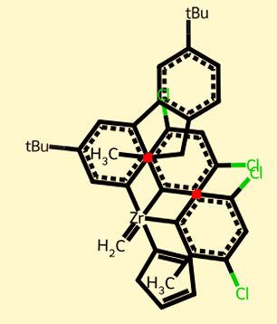 [CH2]=[Zr]([C]1=CC=CC1)([c]1cc(Cl)cc(Cl)c1C)([c]1cc(Cl)cc(Cl)c1C)[c]1cc(C(C)(C)C)cc2c1Cc1ccc(C(C)(C)C)cc1-2